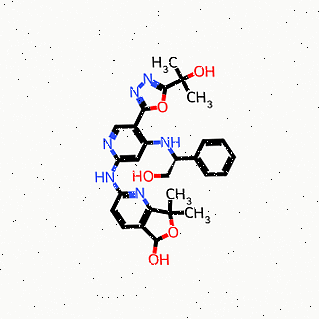 CC(C)(O)c1nnc(-c2cnc(Nc3ccc4c(n3)C(C)(C)OC4O)cc2N[C@H](CO)c2ccccc2)o1